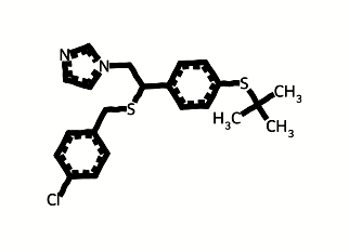 CC(C)(C)Sc1ccc(C(Cn2ccnc2)SCc2ccc(Cl)cc2)cc1